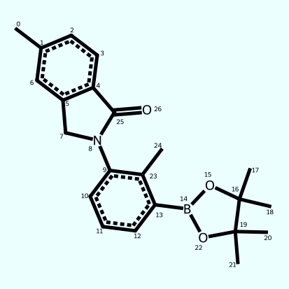 Cc1ccc2c(c1)CN(c1cccc(B3OC(C)(C)C(C)(C)O3)c1C)C2=O